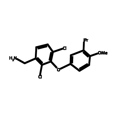 COc1ccc(Oc2c(Cl)ccc(CN)c2Cl)cc1C(C)C